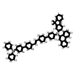 CC1(C)c2ccccc2-c2ccc(N(c3ccc(-c4ccc(/C=C/c5ccc(-c6ccc(N(c7ccccc7)c7ccccc7)cc6)cc5)cc4)cc3)c3cc4ccccc4c4ccccc34)cc21